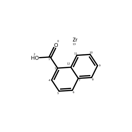 O=C(O)c1cccc2ccccc12.[Zr]